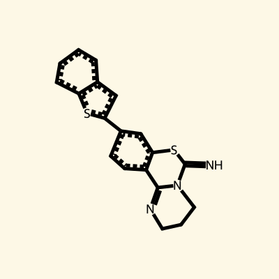 N=C1Sc2cc(-c3cc4ccccc4s3)ccc2C2=NCCCN12